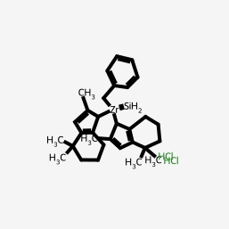 CC1=CC2=C(CCCC2(C)C)[CH]1[Zr](=[SiH2])([CH2]c1ccccc1)[CH]1C(C)=CC2=C1CCCC2(C)C.Cl.Cl